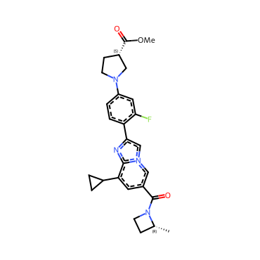 COC(=O)[C@H]1CCN(c2ccc(-c3cn4cc(C(=O)N5CC[C@H]5C)cc(C5CC5)c4n3)c(F)c2)C1